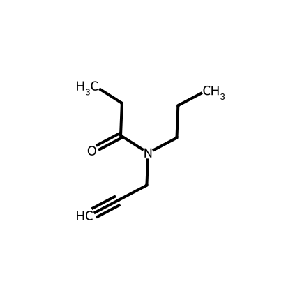 C#CCN(CCC)C(=O)CC